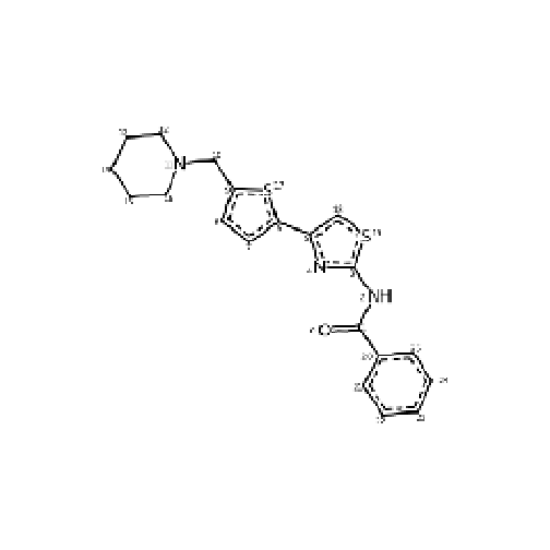 O=C(Nc1nc(-c2ccc(CN3CCCCC3)s2)cs1)c1ccccc1